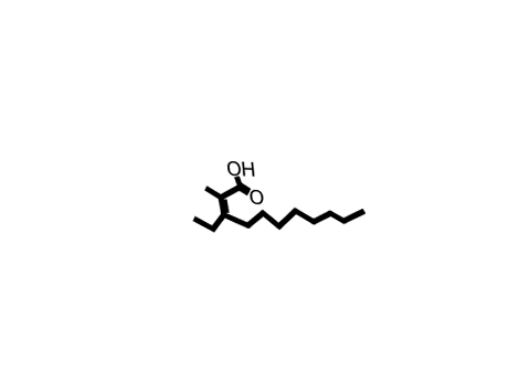 CCCCCCCCC(CC)=C(C)C(=O)O